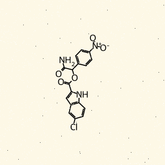 NC(=O)C(OC(=O)c1cc2cc(Cl)ccc2[nH]1)c1ccc([N+](=O)[O-])cc1